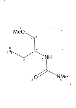 CNC(=O)NC(COC)CC(C)C